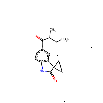 CC(CC(=O)O)C(=O)c1ccc2c(c1)C1(CC1)C(=O)N2